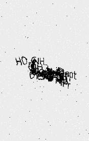 CCCC(C)C([C@@H](CC(=O)N1CCC[C@H]1[C@H](OC)[C@@H](C)C(=O)N[C@@H](Cc1ccc(C)cc1)C(=O)NCCCOC(=O)[C@H](C)NC(=O)CCC(N)C(=O)O)OC)N(C)C(=O)[C@@H](NC(=O)C(C(C)C)N(C)C)C(C)C